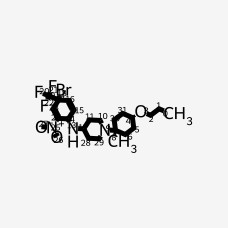 CCCO[C@H]1CC[C@](C)(N2CCC(NC3C=CC(Br)(C(F)(F)F)C=C3[N+](=O)[O-])CC2)CC1